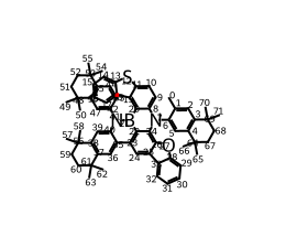 Cc1cc2c(cc1N1c3ccc4sc5ccccc5c4c3B3c4c(cc5c(oc6ccccc65)c41)-c1cc4c(cc1N3c1ccc3c(c1)C(C)(C)CCC3(C)C)C(C)(C)CCC4(C)C)C(C)(C)CCC2(C)C